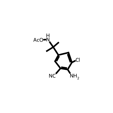 CC(=O)ONC(C)(C)c1cc(Cl)c(N)c(C#N)c1